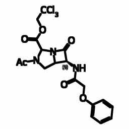 CC(=O)N1CC2[C@H](NC(=O)COc3ccccc3)C(=O)N2C1C(=O)OCC(Cl)(Cl)Cl